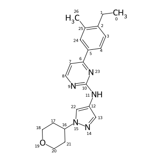 CCc1ccc(-c2ccnc(Nc3cnn(C4CCOCC4)c3)n2)cc1C